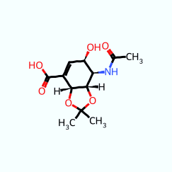 CC(=O)N[C@H]1[C@@H]2OC(C)(C)O[C@@H]2C(C(=O)O)=C[C@H]1O